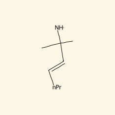 CCC/C=C/C(C)(C)[NH]